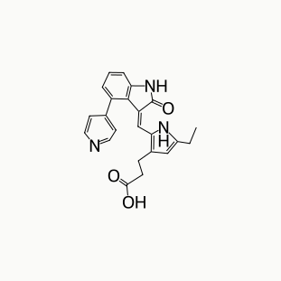 CCc1cc(CCC(=O)O)c(C=C2C(=O)Nc3cccc(-c4ccncc4)c32)[nH]1